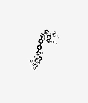 COC(=O)N[C@@H](C)C(=O)N1CCC[C@H]1c1ncc(-c2ccc(-c3ccc(-c4cnc([C@@H]5CCCN5C(=O)[C@H](Cc5cncn5C)OC(N)=O)[nH]4)cc3)cc2)[nH]1